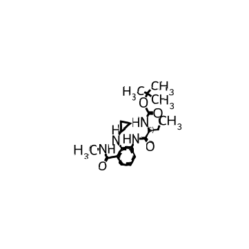 CC[C@H](NC(=O)OC(C)(C)C)C(=O)Nc1cccc(C(=O)NC)c1NC1CC1